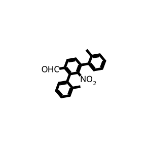 Cc1ccccc1-c1ccc(C=O)c(-c2ccccc2C)c1[N+](=O)[O-]